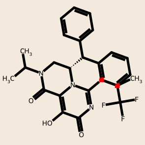 CC(C)N1C[C@H](C(c2ccccc2)c2ccccc2)n2c(NC(C)C(F)(F)F)nc(=O)c(O)c2C1=O